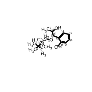 CC(O)[C@@H](O[SiH2][Si](C)(C)C(C)(C)C)c1ccccc1Cl